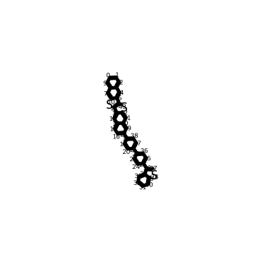 c1ccc2cc3c(cc2c1)sc1c2cc4ccc(-c5ccc(-c6ccc(-c7csc8ccccc78)cc6)cc5)cc4cc2sc31